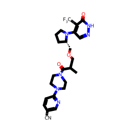 CC(COC[C@@H]1CCCN1c1cn[nH]c(=O)c1C(F)(F)F)C(=O)N1CCN(c2ccc(C#N)cn2)CC1